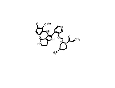 C=CC(=O)N1CCN(C)C[C@@H]1COc1cnccc1-c1[nH]c2c(c1Nc1cccc(F)c1OC)C(=O)NCC2